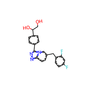 OCC(O)c1ccc(-c2nnc3ccc(Cc4ccc(F)cc4F)cn23)cc1